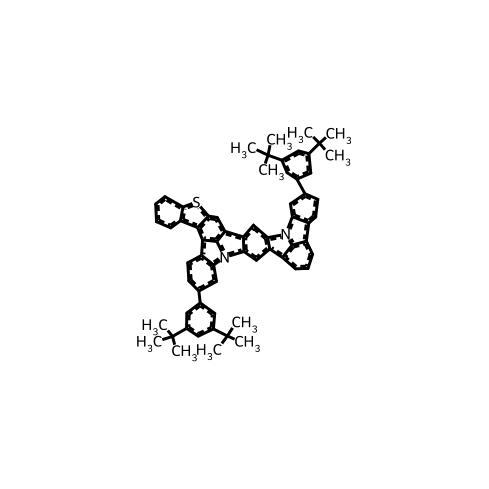 CC(C)(C)c1cc(-c2ccc3c4cccc5c6cc7c(cc6n(c3c2)c45)c2cc3sc4ccccc4c3c3c4ccc(-c5cc(C(C)(C)C)cc(C(C)(C)C)c5)cc4n7c23)cc(C(C)(C)C)c1